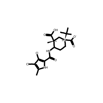 Cc1[nH]c(C(=O)NC2CC[N@+](C(=O)[O-])(C(C)(C)C)C[C@@]2(C)C(=O)O)c(Cl)c1Cl